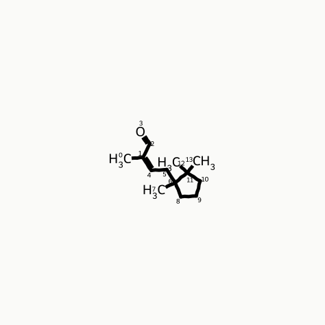 CC(C=O)=CCC1(C)CCCC1(C)C